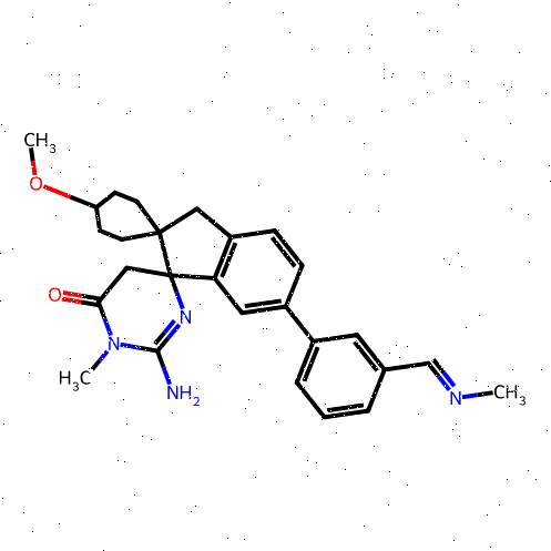 C/N=C/c1cccc(-c2ccc3c(c2)C2(CC(=O)N(C)C(N)=N2)C2(CCC(OC)CC2)C3)c1